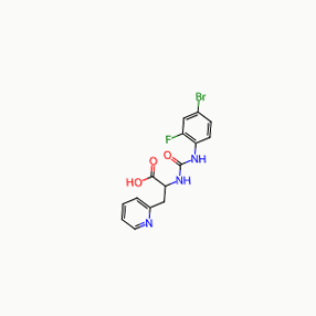 O=C(Nc1ccc(Br)cc1F)NC(Cc1ccccn1)C(=O)O